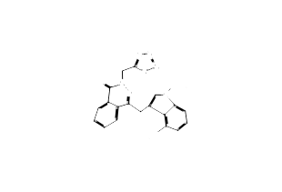 Cc1cccc2c1c(Cc1nn(Cc3nnn[nH]3)c(=O)c3ccccc13)cn2C